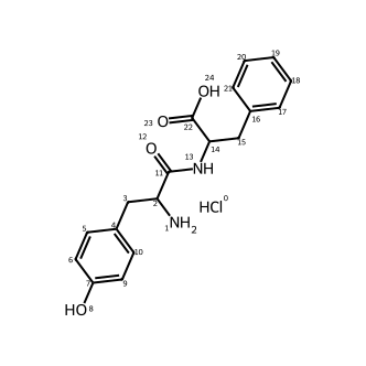 Cl.NC(Cc1ccc(O)cc1)C(=O)NC(Cc1ccccc1)C(=O)O